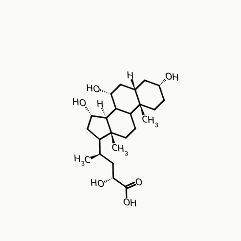 C[C@H](C[C@@H](O)C(=O)O)C1C[C@H](O)[C@H]2C3C(CC[C@]12C)[C@@]1(C)CC[C@@H](O)C[C@H]1C[C@H]3O